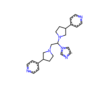 [c]1cn(C(CN2CCC(c3ccncc3)C2)N2CCC(c3ccncc3)C2)cn1